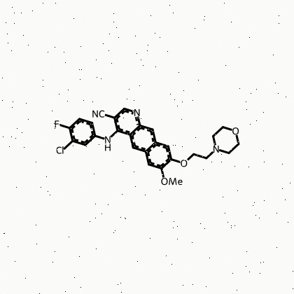 COc1cc2cc3c(Nc4ccc(F)c(Cl)c4)c(C#N)cnc3cc2cc1OCCN1CCOCC1